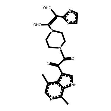 Cc1ncc(C)c2c(C(=O)C(=O)N3CCN(/C(C=O)=C(/C=O)c4nccs4)CC3)c[nH]c12